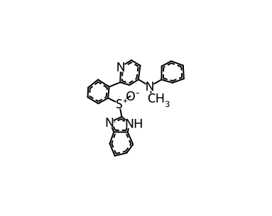 CN(c1ccccc1)c1ccnc(-c2ccccc2[S+]([O-])c2nc3ccccc3[nH]2)c1